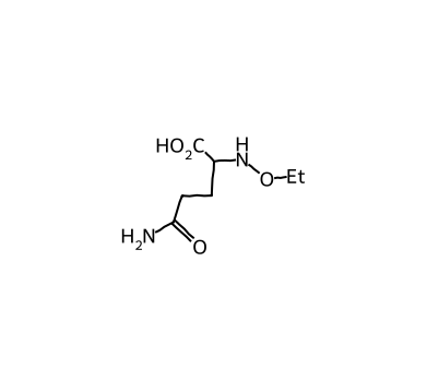 CCONC(CCC(N)=O)C(=O)O